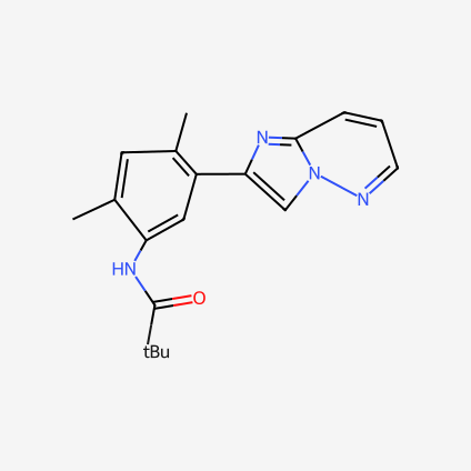 Cc1cc(C)c(-c2cn3ncccc3n2)cc1NC(=O)C(C)(C)C